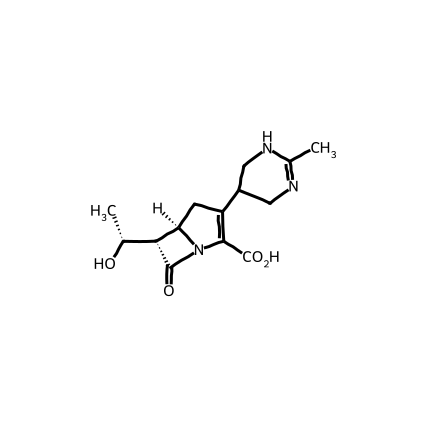 CC1=NCC(C2=C(C(=O)O)N3C(=O)[C@H]([C@@H](C)O)[C@H]3C2)CN1